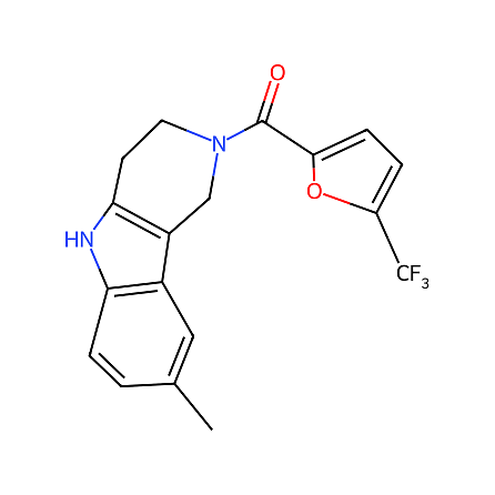 Cc1ccc2[nH]c3c(c2c1)CN(C(=O)c1ccc(C(F)(F)F)o1)CC3